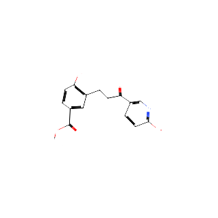 COC(=O)c1ccc(O)c(CCC(=O)c2ccc(O)nc2)c1